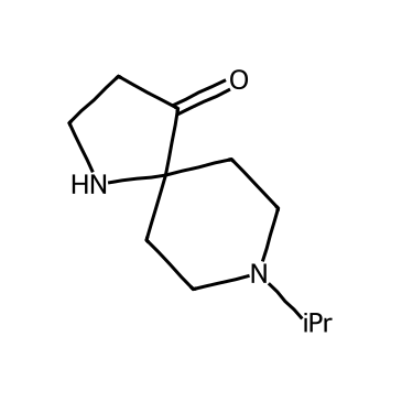 CC(C)N1CCC2(CC1)NCCC2=O